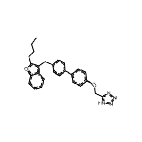 CCCCc1oc2ccccc2c1Cc1ccc(-c2ccc(OCc3nnn[nH]3)cc2)cc1